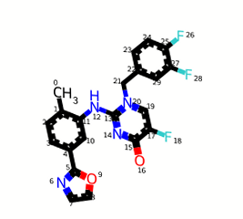 Cc1ccc(-c2ncco2)cc1Nc1nc(=O)c(F)cn1Cc1ccc(F)c(F)c1